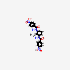 CC1C(NC(=O)c2ccc([N+](=O)[O-])cc2)CCCC1NC(=O)c1ccc([N+](=O)[O-])cc1